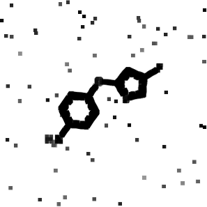 Nc1ccc(Oc2cc(F)cs2)cc1